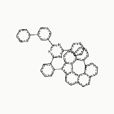 c1ccc(-c2cccc(-c3nc(-c4ccccc4)nc(-c4ccccc4-n4c5ccc6cccc7c6c5c5c6c(ccc8cccc-7c86)ccc54)n3)c2)cc1